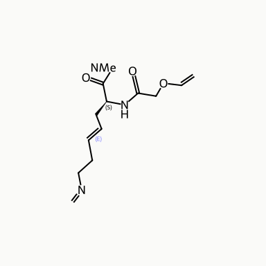 C=COCC(=O)N[C@@H](C/C=C/CCN=C)C(=O)NC